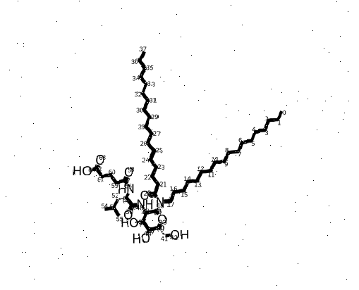 CCCCCCCCCCCCCCCCCCN(C(=O)CCCCCCCCCCCCCCCCC)[C@@H]1O[C@H](CO)[C@@H](O)[C@H](O)[C@H]1NC(=O)[C@H](CC(C)C)NC(=O)CCCC(=O)O